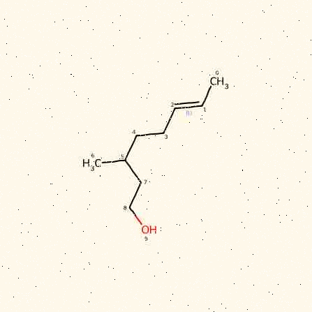 C/C=C/CCC(C)CCO